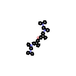 c1ccc2c(c1)c1cc(-n3c4ccccc4c4cc(-n5c6ccccc6c6ccccc65)ccc43)ccc1c1cc3oc4cc5c6ccc(-n7c8ccccc8c8cc(-n9c%10ccccc%10c%10ccccc%109)ccc87)cc6c6ccccc6c5cc4c3cc21